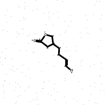 CCC=CCCC1COC(=O)C1